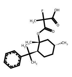 C[C@@H]1CC[C@@H](C(C)(C)c2ccccc2)[C@](C)(OC(=O)C(C)(F)C(=O)O)C1